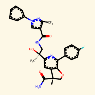 C[C@]1(C(N)=O)COc2c1cc([C@@](O)(CNC(=O)c1cn(-c3ccccc3)nc1C(F)(F)F)C(F)(F)F)nc2-c1ccc(F)cc1